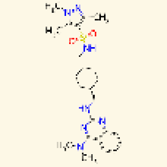 Cc1nn(C)c(C)c1S(=O)(=O)NC[C@H]1CC[C@H](CNc2nc(N(C)C)c3ccccc3n2)CC1